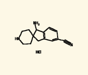 Cl.N#Cc1ccc2c(c1)CC1(CCNCC1)C2N